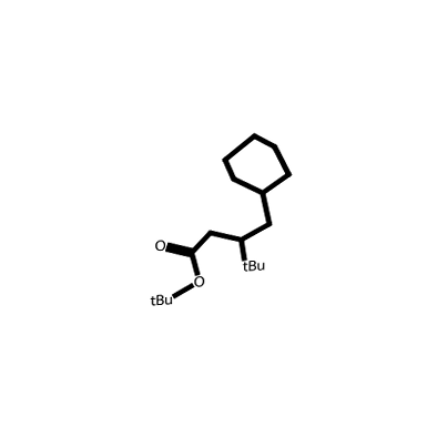 CC(C)(C)OC(=O)CC(CC1CCCCC1)C(C)(C)C